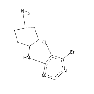 CCc1ncnc(NC2CCC(N)CC2)c1Cl